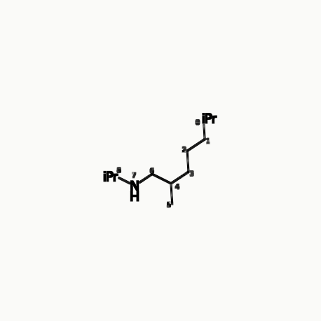 CC(C)CCCC(C)CNC(C)C